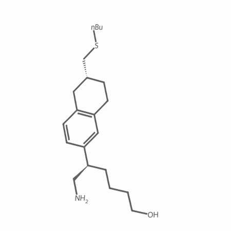 CCCCSC[C@@H]1CCc2cc([C@H](CN)CCCCO)ccc2C1